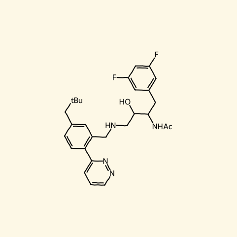 CC(=O)NC(Cc1cc(F)cc(F)c1)C(O)CNCc1cc(CC(C)(C)C)ccc1-c1cccnn1